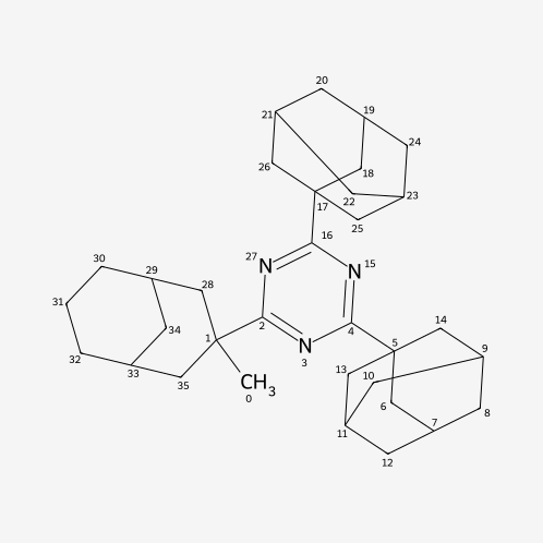 CC1(c2nc(C34CC5CC(CC(C5)C3)C4)nc(C34CC5CC(CC(C5)C3)C4)n2)CC2CCCC(C2)C1